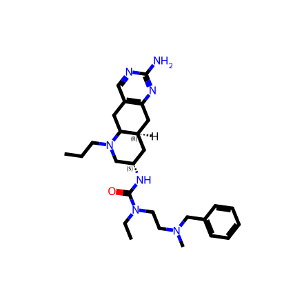 CCCN1C[C@@H](NC(=O)N(CC)CCN(C)Cc2ccccc2)C[C@@H]2Cc3nc(N)ncc3CC21